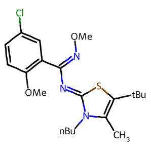 CCCCn1c(C)c(C(C)(C)C)s/c1=N\C(=N\OC)c1cc(Cl)ccc1OC